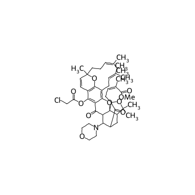 COC(=O)/C(C)=C\CC12OC(C)(C)C3CC(C1=O)C(N1CCOCC1)C1C(=O)c4c(OC(=O)CCl)c5c(c(CC=C(C)C)c4OC132)OC(C)(CCC=C(C)C)C=C5